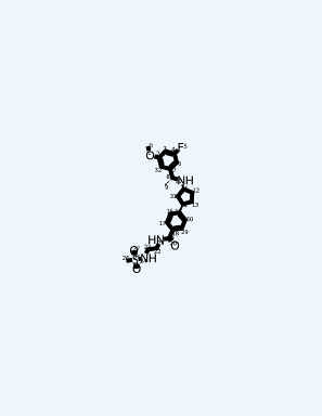 COc1cc(F)cc([C@@H](C)N[C@H]2CC[C@@H](c3ccc(C(=O)NCCNS(C)(=O)=O)cc3)C2)c1